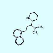 CN(C)C(CCc1cccc2ccccc12)C1CCCCN1